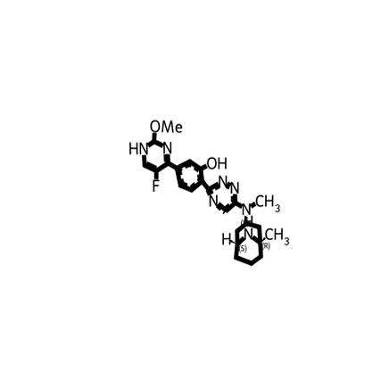 COC1N=C(c2ccc(-c3ncc(N(C)[C@H]4C[C@@H]5CCC[C@](C)(C4)N5)nn3)c(O)c2)C(F)=CN1